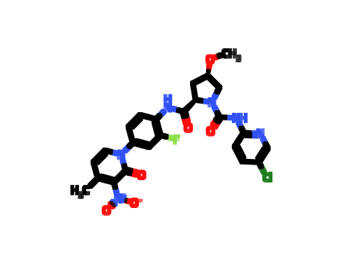 CO[C@@H]1C[C@H](C(=O)Nc2ccc(-n3ccc(C)c([N+](=O)[O-])c3=O)cc2F)N(C(=O)Nc2ccc(Cl)cn2)C1